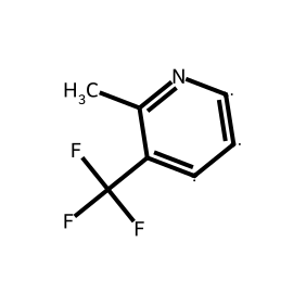 Cc1n[c][c][c]c1C(F)(F)F